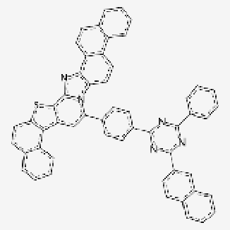 c1ccc(-c2nc(-c3ccc(-c4cc5c(sc6ccc7ccccc7c65)c5nc6c7ccc8ccccc8c7ccc6n45)cc3)nc(-c3ccc4ccccc4c3)n2)cc1